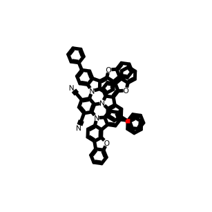 N#Cc1cc(C#N)c(-n2c3ccc(-c4ccccc4)cc3c3c4oc5ccccc5c4ccc32)c(-n2c3ccc(-c4ccccc4)cc3c3c4c(ccc32)C2CC=CC=C2O4)c1-n1c2ccc(-c3ccccc3)cc2c2c3oc4ccccc4c3ccc21